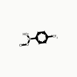 OB(OCl)c1ccc(C(F)(F)F)cc1